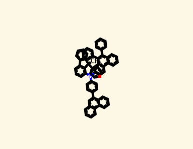 CC1(c2ccccc2)c2ccccc2-c2cccc(N(c3ccc(-c4cc5ccccc5c5ccccc45)cc3)c3ccc4c(c3)c(-c3ccccc3)c(-c3ccccc3)c3ccccc34)c21